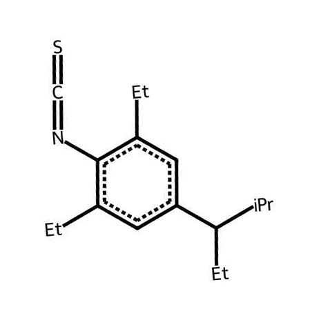 CCc1cc(C(CC)C(C)C)cc(CC)c1N=C=S